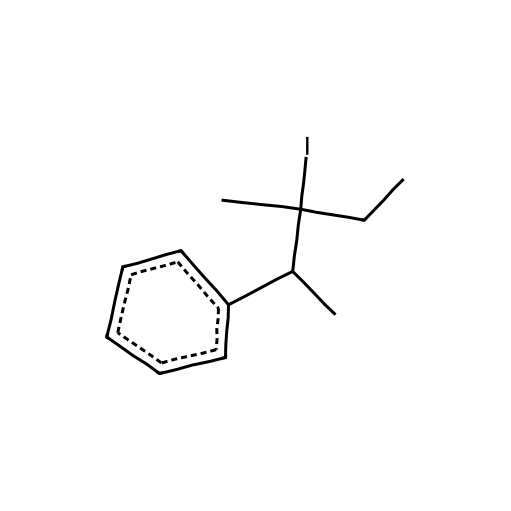 CCC(C)(I)C(C)c1ccccc1